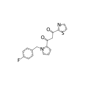 O=C(CC(=O)c1cccn1Cc1ccc(F)cc1)c1nccs1